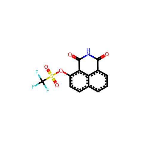 O=C1NC(=O)c2c(OS(=O)(=O)C(F)(F)F)ccc3cccc1c23